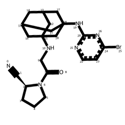 N#C[C@@H]1CCCN1C(=O)CNC12CC3CC(C1)CC(Nc1nccc(Br)n1)(C3)C2